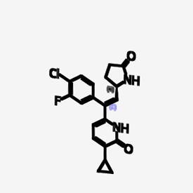 O=C1CC[C@H](/C=C(\c2ccc(Cl)c(F)c2)c2ccc(C3CC3)c(=O)[nH]2)N1